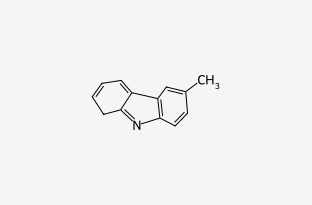 Cc1ccc2c(c1)C1=CC=CCC1=N2